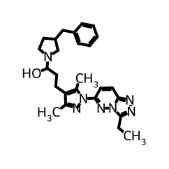 CCc1nnc2ccc(-n3nc(C)c(CCC(O)N4CCC(Cc5ccccc5)C4)c3C)nn12